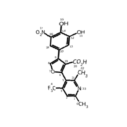 Cc1cc(C(F)(F)F)c(-c2occ(-c3cc(O)c(O)c([N+](=O)[O-])c3)c2C(=O)O)c(C)n1